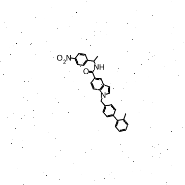 Cc1ccccc1-c1ccc(Cn2ccc3cc(C(=O)NC(C)c4ccc([N+](=O)[O-])cc4)ccc32)cc1